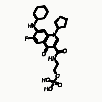 O=C(NCCOP(=O)(O)O)c1cn(C2CCCC2)c2cc(NC3CCCCC3)c(F)cc2c1=O